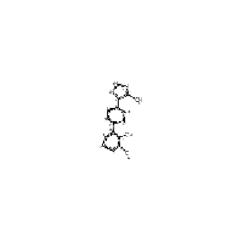 N#Cc1[nH]nnc1-c1ccc(-c2cccc(Cl)c2Cl)cc1